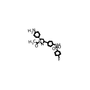 CC(=O)N1N=C(c2ccc(NS(=O)(=O)c3ccc(F)cc3)cc2)C[C@H]1c1ccc(N)cc1